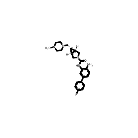 CN1CCN(C[C@@H]2[C@H]3CN(C(=O)Nc4cc(-c5ccc(F)cc5)ccc4N)C[C@@H]23)CC1